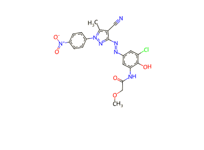 COCC(=O)Nc1cc(N=Nc2nn(-c3ccc([N+](=O)[O-])cc3)c(C)c2C#N)cc(Cl)c1O